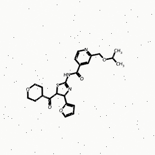 CC(C)OCc1cc(C(=O)NC2=NC(c3ccco3)C(C(=O)C3CCOCC3)S2)ccn1